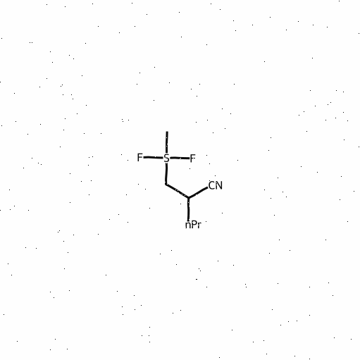 CCCC(C#N)CS(C)(F)F